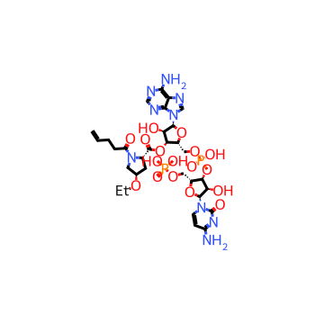 C=CCCC(=O)N1C[C@H](OCC)C[C@H]1C(=O)O[C@H]1[C@@H](O)[C@H](n2cnc3c(N)ncnc32)O[C@@H]1COP(=O)(O)O[C@H]1[C@@H](O)[C@H](n2ccc(N)nc2=O)O[C@@H]1COP(=O)(O)O